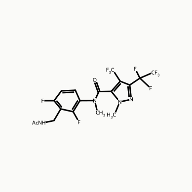 CC(=O)NCc1c(F)ccc(N(C)C(=O)c2c(C(F)(F)F)c(C(F)(F)C(F)(F)F)nn2C)c1F